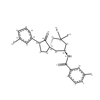 Cc1nccc(C(=O)N[C@@H]2CC(F)(F)C[C@@]3(CCN(c4cccc(F)c4)C3=O)C2)n1